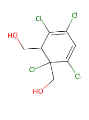 OCC1C(Cl)=C(Cl)C=C(Cl)C1(Cl)CO